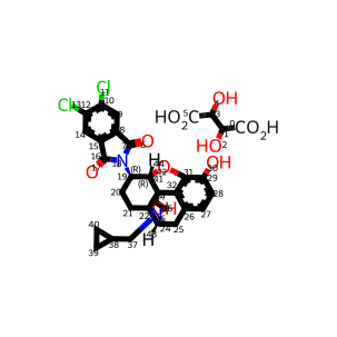 O=C(O)C(O)C(O)C(=O)O.O=C1c2cc(Cl)c(Cl)cc2C(=O)N1[C@@H]1CCC2(O)[C@H]3Cc4ccc(O)c5c4[C@@]2(CCN3CC2CC2)[C@H]1O5